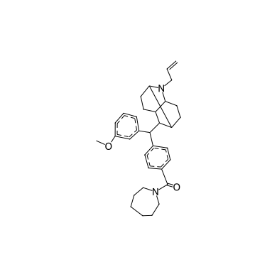 C=CCN1C2CCC3C(C(c4ccc(C(=O)N5CCCCCC5)cc4)c4cccc(OC)c4)C2CCC31